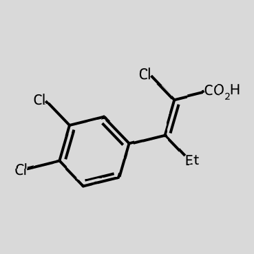 CCC(=C(Cl)C(=O)O)c1ccc(Cl)c(Cl)c1